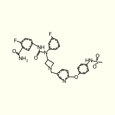 CS(=O)(=O)Nc1ccc(Oc2ccc(CN3CC(N(C(=O)Nc4ccc(F)c(C(N)=O)c4)c4cccc(F)c4)C3)cn2)cc1